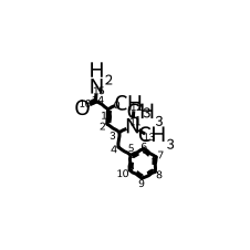 CC(=CC(Cc1ccccc1)N(C)C)C(N)=O